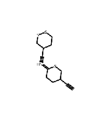 C#CC1CCC(=[SH]#CC2CCSSC2)SC1